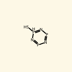 S[PH]1=NP=NP=N1